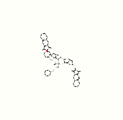 O=C(OCc1ccccc1)C1(C(=O)OCc2ccccc2)Oc2c(sc3cc(N=c4c(=O)c5cc6ccccc6cc5c4=O)sc23)-c2sc3cc(N=c4c(=O)c5cc6ccccc6cc5c4=O)sc3c21